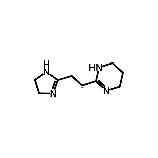 [CH](CC1=NCCN1)C1=NCCCN1